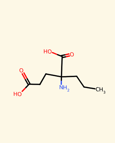 CCCC(N)(CCC(=O)O)C(=O)O